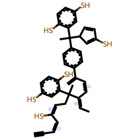 C#C/C=C\C(S)=C/CC(C)(C(/C=C\C(=C)c1ccc(C(C)(c2cc(S)ccc2S)C2C=CC(S)=C2)cc1)=C/C)c1cc(S)ccc1S